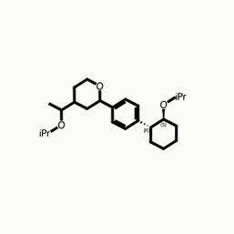 CC(C)OC(C)C1CCOC(c2ccc([C@H]3CCCC[C@@H]3OC(C)C)cc2)C1